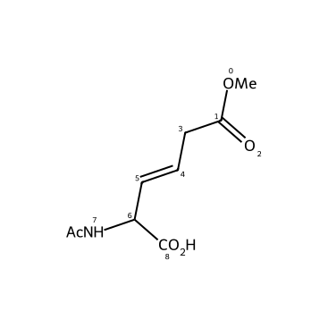 COC(=O)C/C=C/C(NC(C)=O)C(=O)O